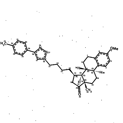 COc1ccc2c(c1)CC[C@H]1[C@@H]3[C@H](CCCCn4cc(-c5ccc(C)cc5)nn4)CC(=O)[C@@]3(C)CC[C@H]21